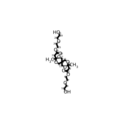 CC1(CC(=O)OCCOCCO)OCC2(CO1)COC(C)(CC(=O)OCCOCCO)OC2